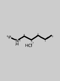 CCCCCN[P].Cl